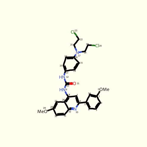 COc1cccc(-c2cc(NC(=O)Nc3ccc(N(CCCl)CCCl)cc3)c3cc(OC)ccc3n2)c1